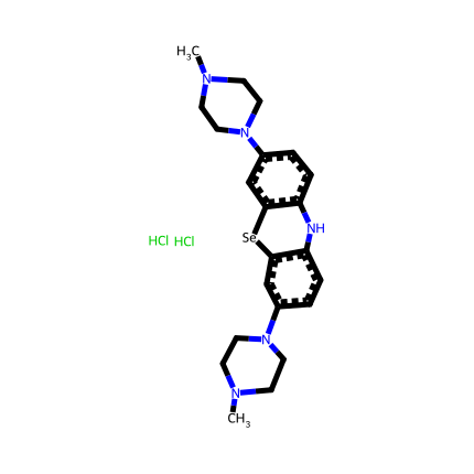 CN1CCN(c2ccc3c(c2)[Se]c2cc(N4CCN(C)CC4)ccc2N3)CC1.Cl.Cl